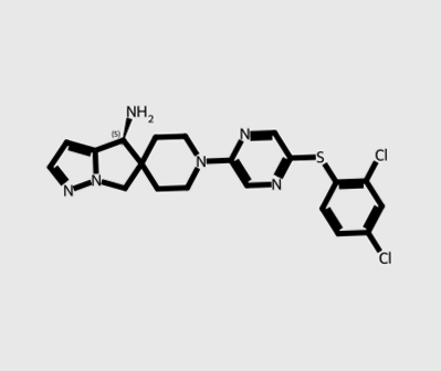 N[C@@H]1c2ccnn2CC12CCN(c1cnc(Sc3ccc(Cl)cc3Cl)cn1)CC2